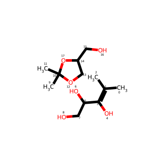 CC(C)=C(O)C(O)CO.CC1(C)OCC(CO)O1